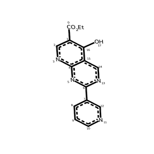 CCOC(=O)c1cnc2nc(-c3cccnc3)ncc2c1O